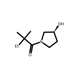 CCC(C)(C)C(=O)N1CC[C@H](O)C1